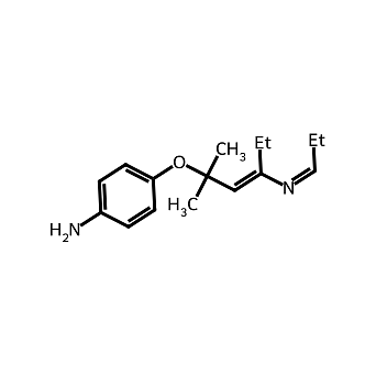 CC/C=N\C(=C\C(C)(C)Oc1ccc(N)cc1)CC